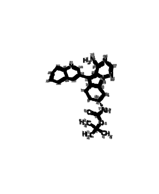 CC(C)(C)OC(=O)N[C@@H]1CCc2c(-c3cnc4ccccc4c3)c3c(N)ncnn3c2C1